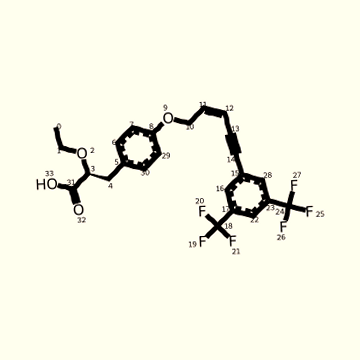 CCO[C@@H](Cc1ccc(OC/C=C\C#Cc2cc(C(F)(F)F)cc(C(F)(F)F)c2)cc1)C(=O)O